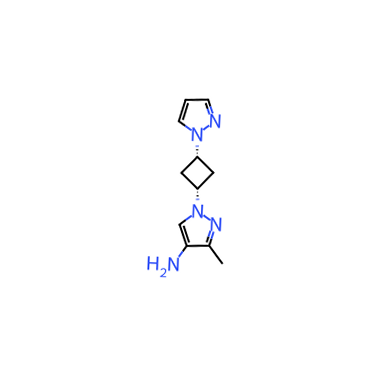 Cc1nn([C@H]2C[C@@H](n3cccn3)C2)cc1N